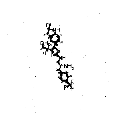 N[C@@H](CNc1nc(C(F)(F)CO)c(-c2ccc3c(c2)CC(=O)N3)s1)Cc1ccc(C(F)(F)F)cc1